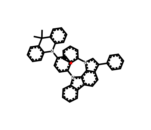 CC1(C)c2ccccc2N(c2ccc(-n3c4ccccc4c4ccc5c(-c6ccccc6)cn(-c6ccccc6)c5c43)cc2)c2ccccc21